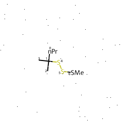 CCCC(C)(C)SSSC